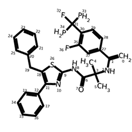 C=C(NC(C)(C)C(=O)Nc1nc(-c2ccccc2)c(Cc2ccccc2)s1)c1ccc(C(F)(P)P)c(F)c1